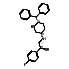 O[C@H](CN[C@H]1CC[C@@H](C(c2ccccc2)c2ccccc2)NC1)c1ccc(F)cc1